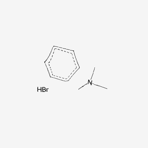 Br.CN(C)C.c1ccccc1